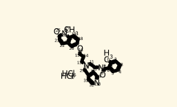 Cc1ccccc1C(=O)NCCN(CCCOc1ccc2c(ccc(=O)n2C)c1)Cc1ccncc1.Cl.Cl